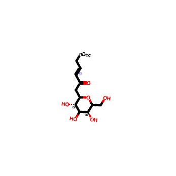 CCCCCCCCCCC/C=C/C(=O)CC1OC(CO)[C@@H](O)C(O)[C@@H]1O